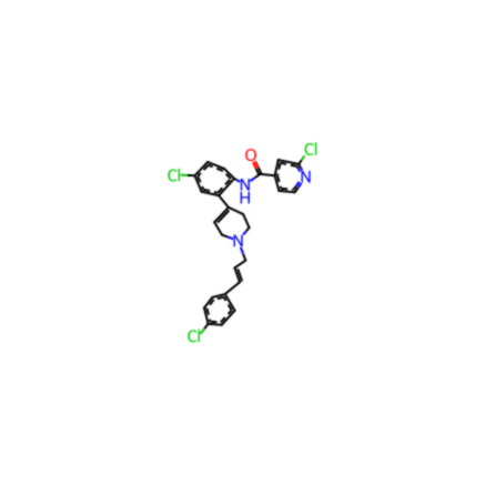 O=C(Nc1ccc(Cl)cc1C1=CCN(C/C=C/c2ccc(Cl)cc2)CC1)c1ccnc(Cl)c1